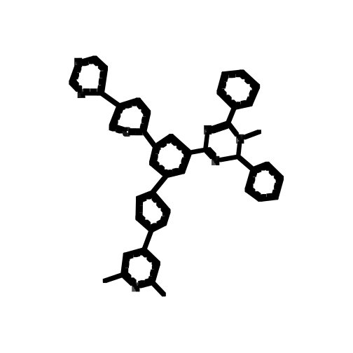 Cc1cc(-c2ccc(-c3cc(C4=NC(c5ccccc5)N(C)C(c5ccccc5)=N4)cc(-c4ccc(-c5ccncn5)cc4)c3)cc2)cc(C)n1